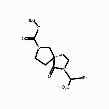 CC(C)C(C(=O)O)N1CC[C@@]2(CCN(C(=O)OC(C)(C)C)C2)C1=O